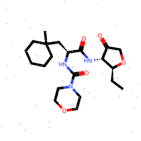 CC[C@@H]1OCC(=O)[C@H]1NC(=O)[C@H](CC1(C)CCCCC1)NC(=O)N1CCOCC1